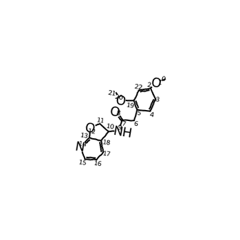 COc1ccc(CC(=O)NC2COc3ncccc32)c(OC)c1